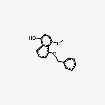 COc1ccc(O)c2cccc(OCc3ccccc3)c12